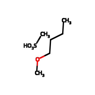 CCCCOC.CS(=O)(=O)O